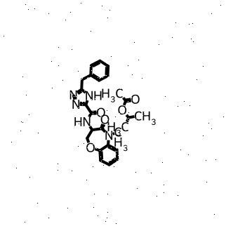 CC(=O)OC(C)C.CN1C(=O)C(NC(=O)c2nnc(Cc3ccccc3)[nH]2)COc2ccccc21